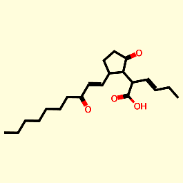 CCC=CC(C(=O)O)C1C(=O)CCC1C=CC(=O)CCCCCCC